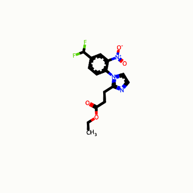 CCOC(=O)CCc1nccn1-c1ccc(C(F)F)cc1[N+](=O)[O-]